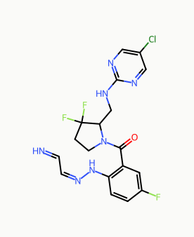 N=C/C=N\Nc1ccc(F)cc1C(=O)N1CCC(F)(F)C1CNc1ncc(Cl)cn1